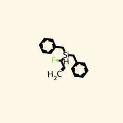 C=CC(F)[SiH](Cc1ccccc1)Cc1ccccc1